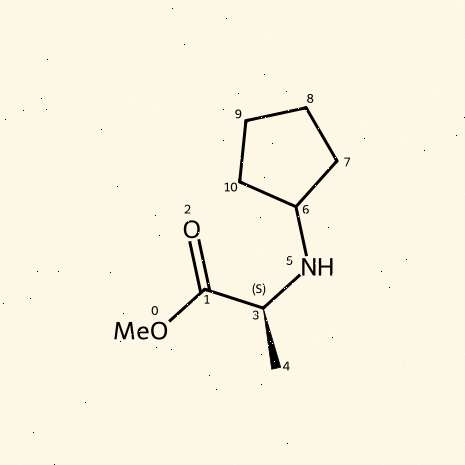 COC(=O)[C@H](C)NC1CCCC1